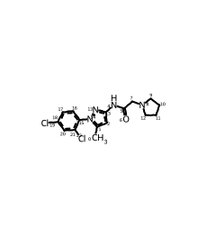 Cc1cc(NC(=O)CN2CCCC2)nn1-c1ccc(Cl)cc1Cl